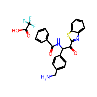 NCc1ccc(C(NC(=O)c2ccccc2)C(=O)c2nc3ccccc3s2)cc1.O=C(O)C(F)(F)F